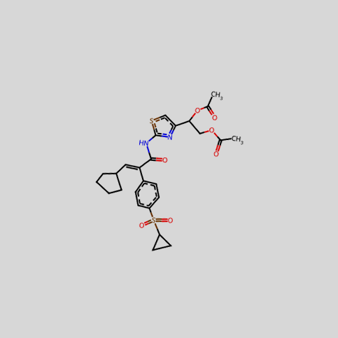 CC(=O)OCC(OC(C)=O)c1csc(NC(=O)/C(=C/C2CCCC2)c2ccc(S(=O)(=O)C3CC3)cc2)n1